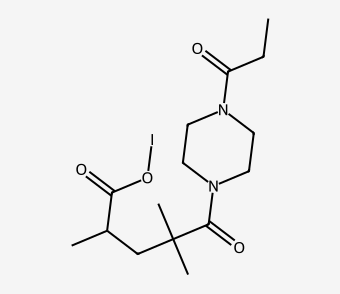 CCC(=O)N1CCN(C(=O)C(C)(C)CC(C)C(=O)OI)CC1